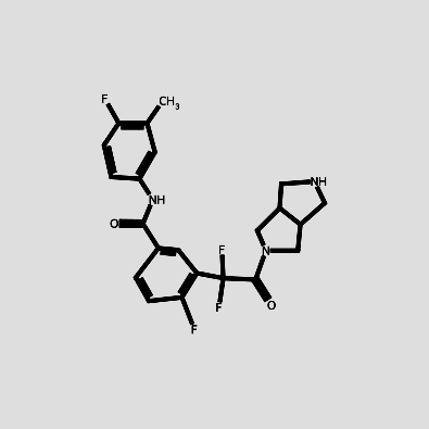 Cc1cc(NC(=O)c2ccc(F)c(C(F)(F)C(=O)N3CC4CNCC4C3)c2)ccc1F